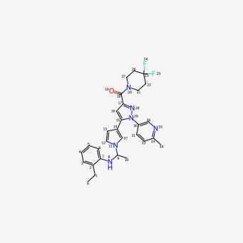 CCc1ccccc1NC(C)n1ccc(-c2cc(C(=O)N3CCC(F)(F)CC3)nn2-c2ccc(C)nc2)c1